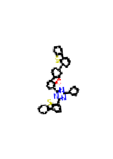 C1=Cc2sc3c(-c4nc(-c5ccccc5)nc(-c5cccc6c5oc5cc(-c7cccc8c7sc7ccccc78)ccc56)n4)cccc3c2CC1